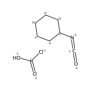 O=C(O)Cl.O=C=NC1CCCCC1